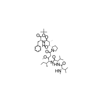 CC[C@H](C)[C@@H](C(CC(=O)N1CCC[C@H]1C(OC)[C@@H](C)C(=O)N[C@@H](Cc1ccccc1)C(=O)OC(C)(C)C)OC)N(C)C(=O)[C@@H](NC(=O)[C@@H](NC)C(C)C)C(C)C